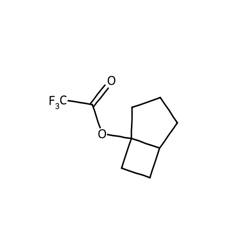 O=C(OC12CCCC1CC2)C(F)(F)F